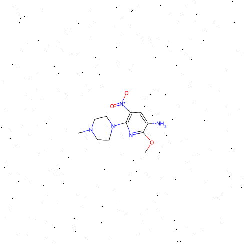 COc1nc(N2CCN(C)CC2)c([N+](=O)[O-])cc1N